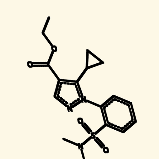 CCOC(=O)c1cnn(-c2ccccc2S(=O)(=O)N(C)C)c1C1CC1